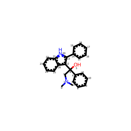 CN(C)CC(O)(c1ccccc1)c1c(-c2ccccc2)[nH]c2ccccc12